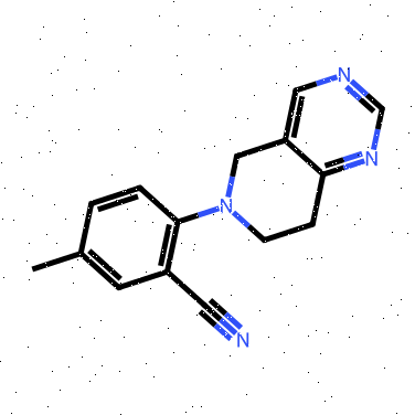 Cc1ccc(N2CCc3ncncc3C2)c(C#N)c1